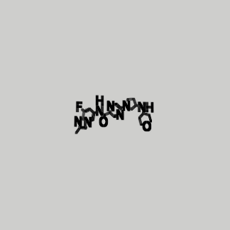 Cc1cn2cc(NC(=O)c3cnc(N4CCC(NC5CCOCC5)C4)cn3)cc(F)c2n1